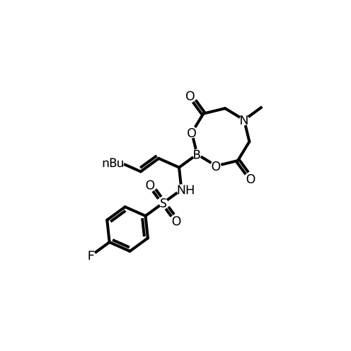 CCCC/C=C/C(NS(=O)(=O)c1ccc(F)cc1)B1OC(=O)CN(C)CC(=O)O1